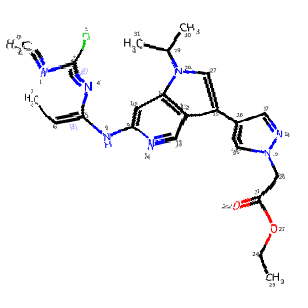 C=N/C(Cl)=N\C(=C/C)Nc1cc2c(cn1)c(-c1cnn(CC(=O)OCC)c1)cn2C(C)C